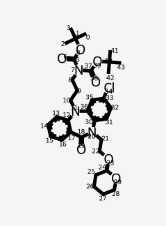 CC(C)(C)OC(=O)N(CCCN1c2ccccc2C(=O)N(CCOC2CCCCO2)c2ccc(Cl)cc21)C(=O)OC(C)(C)C